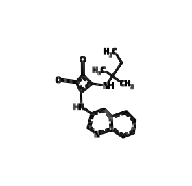 CCC(C)(C)Nc1c(Nc2cnc3ccccc3c2)c(=O)c1=O